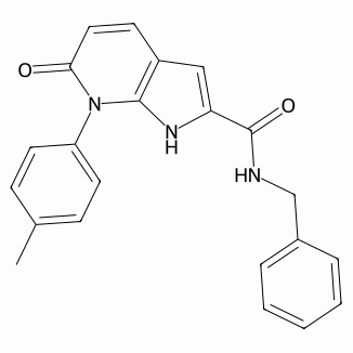 Cc1ccc(-n2c(=O)ccc3cc(C(=O)NCc4ccccc4)[nH]c32)cc1